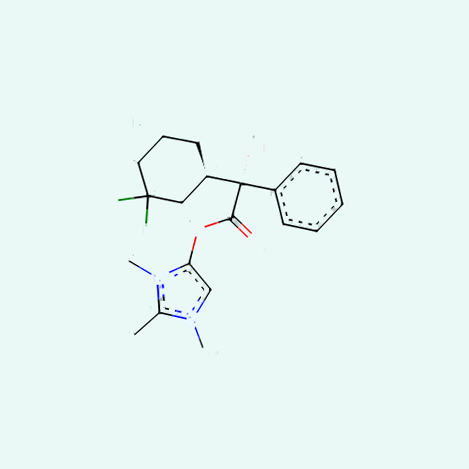 CCCCn1cc(OC(=O)[C@](O)(c2ccccc2)[C@@H]2CCCC(F)(F)C2)[n+](C)c1C.[Br-]